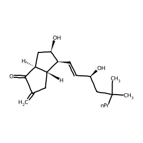 C=C1C[C@H]2[C@H](C=C[C@@H](O)CC(C)(C)CCC)[C@H](O)C[C@@H]2C1=O